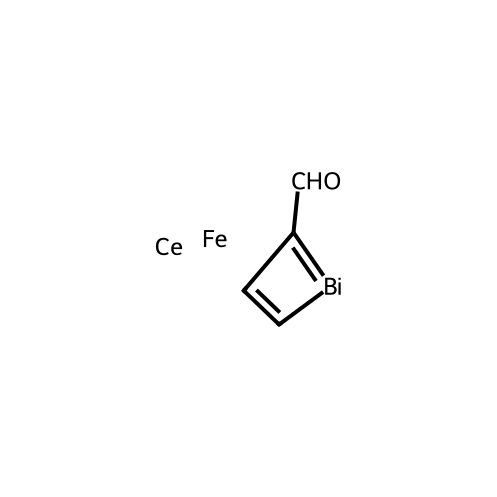 O=C[C]1=[Bi][CH]=C1.[Ce].[Fe]